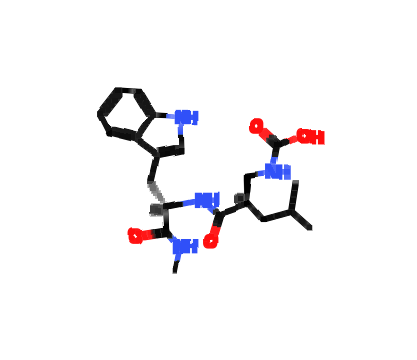 CNC(=O)[C@H](Cc1c[nH]c2ccccc12)NC(=O)[C@@H](CNC(=O)O)CC(C)C